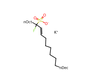 CCCCCCCCCCCCCCCCC=CC(F)(CCCCCCCC)S(=O)(=O)[O-].[K+]